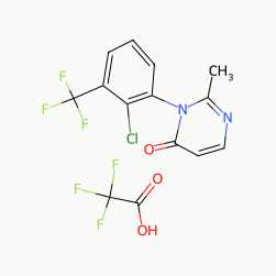 Cc1nccc(=O)n1-c1cccc(C(F)(F)F)c1Cl.O=C(O)C(F)(F)F